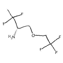 CC(F)(F)[C@@H](N)COCC(F)(F)F